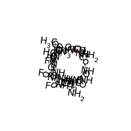 COc1ccc(C[C@@H]2NC(=O)[C@H]([C@@H](C)O)NC(=O)[C@@H]3C[C@H](F)CN3C(=O)[C@H](Cc3c[nH]c4ccc(F)cc34)NC(=O)[C@H](Cc3c[nH]c4ccc(F)cc34)NC(=O)[C@@H](C)NC(=O)[C@H](CCCCN)NC(=O)[C@@H](NC(C)=O)CC(=O)NCc3cccc(c3)C[C@@H](C(N)=O)NC(=O)[C@]3(C)CCCN3C2=O)cc1